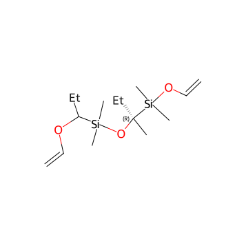 C=COC(CC)[Si](C)(C)O[C@@](C)(CC)[Si](C)(C)OC=C